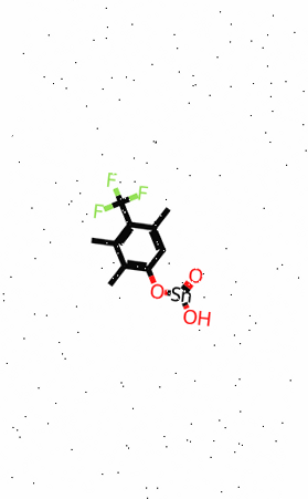 Cc1cc([O][Sn](=[O])[OH])c(C)c(C)c1C(F)(F)F